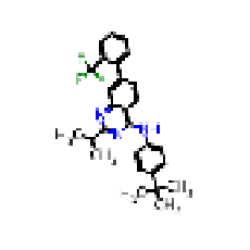 CC(C)c1nc(Nc2ccc(C(C)(C)C)cc2)c2ccc(-c3ccccc3C(F)(F)F)cc2n1